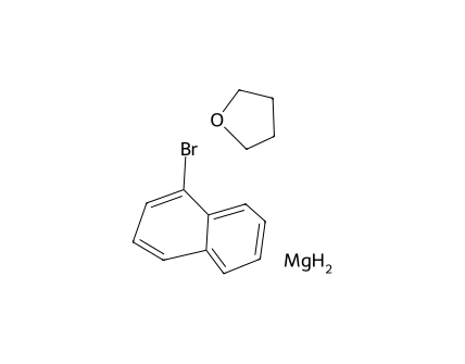 Brc1cccc2ccccc12.C1CCOC1.[MgH2]